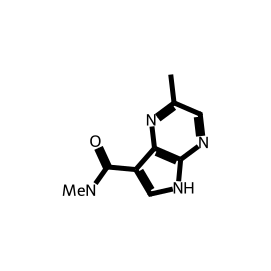 CNC(=O)c1c[nH]c2ncc(C)nc12